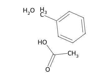 CC(=O)O.Cc1ccccc1.O